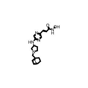 O=C(C=Cc1cnc(N[C@@H]2CCN(CC34CCC(CC3)O4)C2)cn1)NO